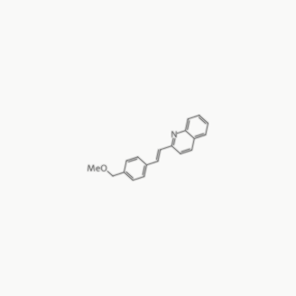 COCc1ccc(/C=C/c2ccc3ccccc3n2)cc1